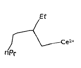 CCCCC(CC)[CH2][Ce+2]